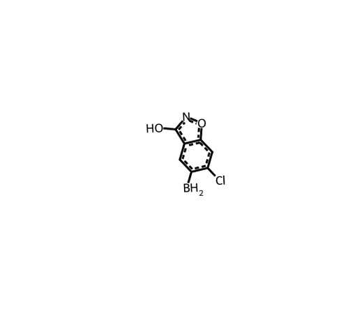 Bc1cc2c(O)noc2cc1Cl